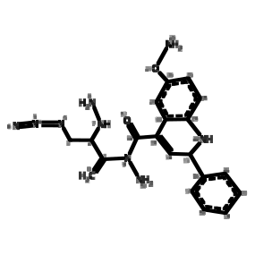 C=C(C(CN=[N+]=[N-])NN)N(N)C(=O)C1=CC(c2ccccc2)Nc2ccc(ON)cc21